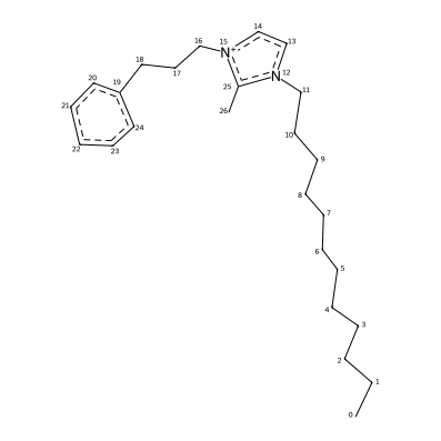 CCCCCCCCCCCCn1cc[n+](CCCc2ccccc2)c1C